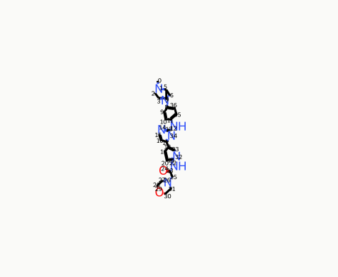 CN1CC2CC1CN2c1ccc(Nc2nccc(-c3ccc(NC(=O)CN4CCOCC4)nc3)n2)cc1